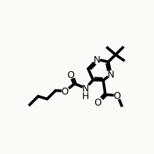 CCCCOC(=O)Nc1cnc(C(C)(C)C)nc1C(=O)OC